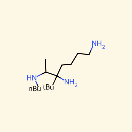 CCCCNC(C)C(N)(CCCCN)C(C)(C)C